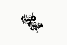 CCOC(=O)C1=C(CN2CCN3C(=S)N(CC4(C(=O)O)CC4)CC3C2)NC(c2nccs2)=CC1c1cccc(F)c1C